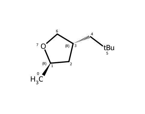 C[C@@H]1C[C@@H](CC(C)(C)C)CO1